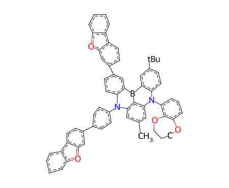 Cc1cc2c3c(c1)N(c1cccc4c1OCCCO4)c1ccc(C(C)(C)C)cc1B3c1cc(-c3ccc4c(c3)oc3ccccc34)ccc1N2c1ccc(-c2ccc3c(c2)oc2ccccc23)cc1